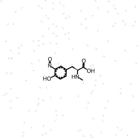 CN[C@@H](Cc1ccc(O)c(N=O)c1)C(=O)O